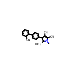 CN1C(C#N)=C(C#N)C(c2ccc(-c3ccccc3C#N)cc2)C1C(=O)O